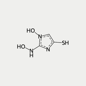 ONc1nc(S)cn1O